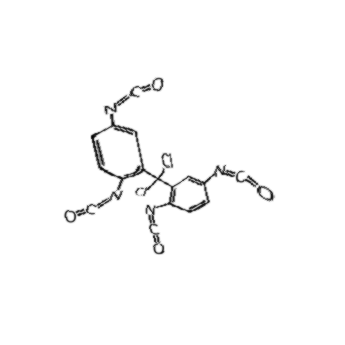 O=C=Nc1ccc(N=C=O)c(C(Cl)(Cl)c2cc(N=C=O)ccc2N=C=O)c1